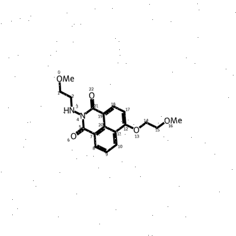 COCCNN1C(=O)c2cccc3c(OCCOC)ccc(c23)C1=O